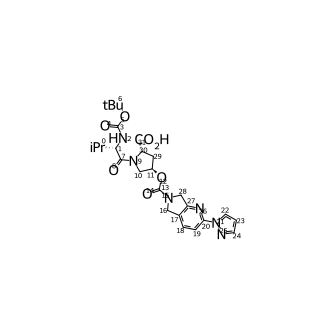 CC(C)[C@H](NC(=O)OC(C)(C)C)C(=O)N1C[C@H](OC(=O)N2Cc3ccc(-n4cccn4)nc3C2)C[C@H]1C(=O)O